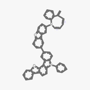 C=C1/C=C\C=C/N(c2ccc3oc4ccc(-c5ccc6c(c5)c5c7oc8ccccc8c7ccc5n6-c5ccccc5)cc4c3c2)c2ccccc21